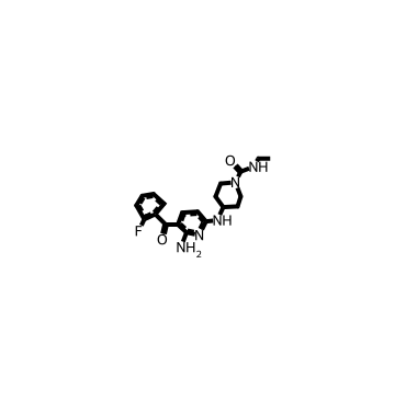 CCNC(=O)N1CCC(Nc2ccc(C(=O)c3ccccc3F)c(N)n2)CC1